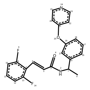 CC(NC(=O)/C=C/c1c(F)cccc1F)c1cccc(Oc2ccncc2)c1